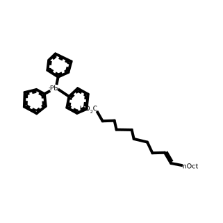 CCCCCCCCC=CCCCCCCCC(=O)O.c1cc[c]([Pb]([c]2ccccc2)[c]2ccccc2)cc1